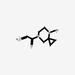 C=CC(=O)N1CCN(C(C)C)C2(CC2)C1